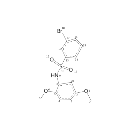 COc1ccc(OC)c(NS(=O)(=O)c2cccc(Br)c2)c1